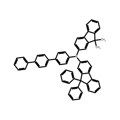 CC1(C)c2ccccc2-c2ccc(N(c3ccc(-c4ccc(-c5ccccc5)cc4)cc3)c3ccc4c(c3)C(c3ccccc3)(c3ccccc3)c3ccccc3-4)cc21